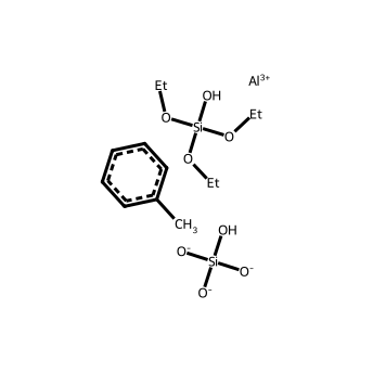 CCO[Si](O)(OCC)OCC.Cc1ccccc1.[Al+3].[O-][Si]([O-])([O-])O